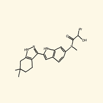 CC(C)C(O)C(=O)N(C)c1ccc2cc(-c3n[nH]c4c3CCC(C)(C)C4)[nH]c2c1